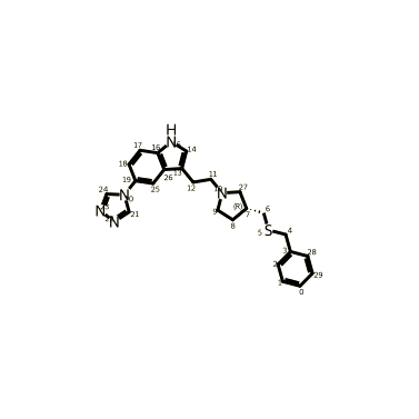 c1ccc(CSC[C@@H]2CCN(CCc3c[nH]c4ccc(-n5cnnc5)cc34)C2)cc1